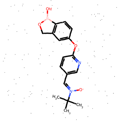 CC(C)(C)/[N+]([O-])=C/c1ccc(Oc2ccc3c(c2)COB3O)nc1